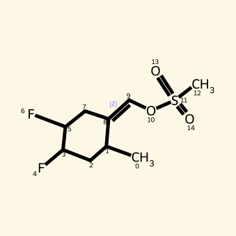 CC1CC(F)C(F)C/C1=C/OS(C)(=O)=O